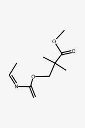 C=C(/N=C\C)OCC(C)(C)C(=O)OC